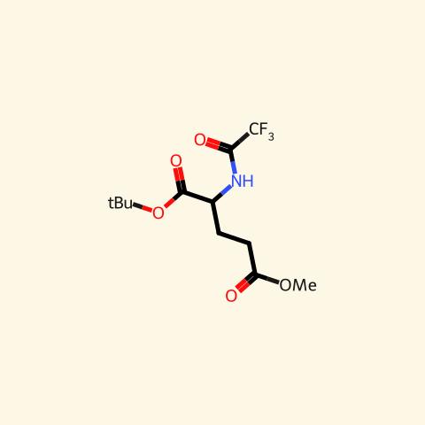 COC(=O)CCC(NC(=O)C(F)(F)F)C(=O)OC(C)(C)C